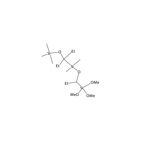 CCC(O[Si](C)(C)C(CC)(CC)O[Si](C)(C)C)[Si](OC)(OC)OC